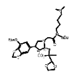 CCCCN(CCCCN(C)C)C(=O)CN1C[C@H](c2cc(OC)c3c(c2)OCO3)[C@@H](C(=O)O)[C@@H]1CC(C)(C)C1OCCO1